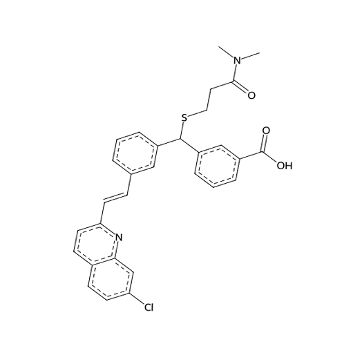 CN(C)C(=O)CCSC(c1cccc(C=Cc2ccc3ccc(Cl)cc3n2)c1)c1cccc(C(=O)O)c1